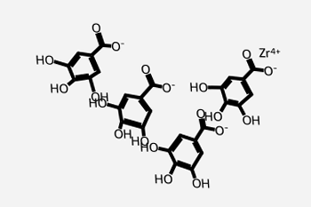 O=C([O-])c1cc(O)c(O)c(O)c1.O=C([O-])c1cc(O)c(O)c(O)c1.O=C([O-])c1cc(O)c(O)c(O)c1.O=C([O-])c1cc(O)c(O)c(O)c1.[Zr+4]